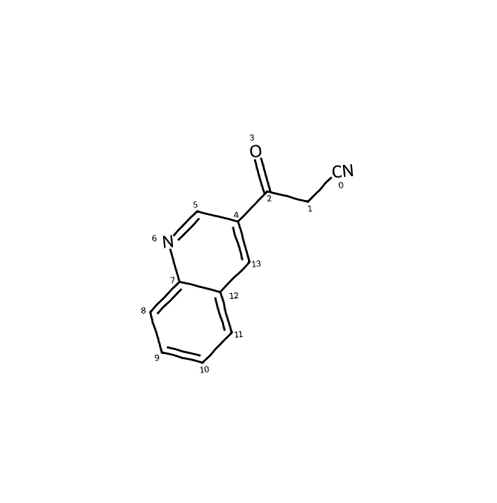 N#CCC(=O)c1cnc2ccccc2c1